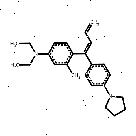 C=CC=C(c1ccc(N2CCCC2)cc1)c1ccc(N(CC)CC)cc1C